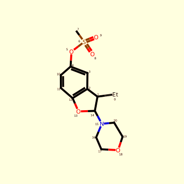 CCC1c2cc(OS(C)(=O)=O)ccc2OC1N1CCOCC1